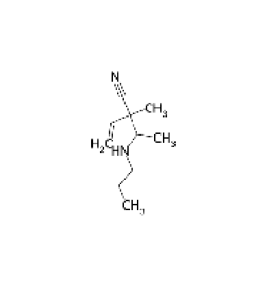 C=CC(C)(C#N)C(C)NCCC